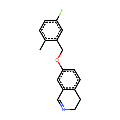 Cc1ccc(F)cc1COc1ccc2c(c1)C=NCC2